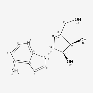 Nc1ncnc2c1ccn2[C@@H]1C=C(CO)[C@@H](O)[C@H]1O